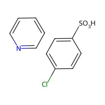 O=S(=O)(O)c1ccc(Cl)cc1.c1ccncc1